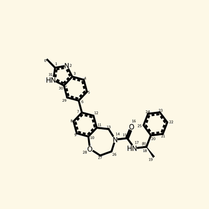 Cc1nc2ccc(-c3ccc4c(c3)CN(C(=O)N[C@H](C)c3ccccc3)CCO4)cc2[nH]1